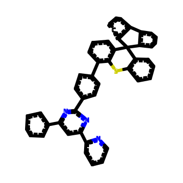 c1ccc(-c2cc(-c3ccccn3)nc(-c3ccc(-c4cccc5c4Sc4ccccc4C54c5ccccc5-c5ccccc54)cc3)n2)cc1